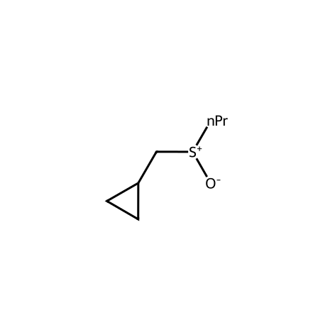 CCC[S+]([O-])CC1CC1